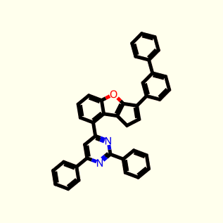 C1=C(c2cccc(-c3ccccc3)c2)c2oc3cccc(-c4cc(-c5ccccc5)nc(-c5ccccc5)n4)c3c2C1